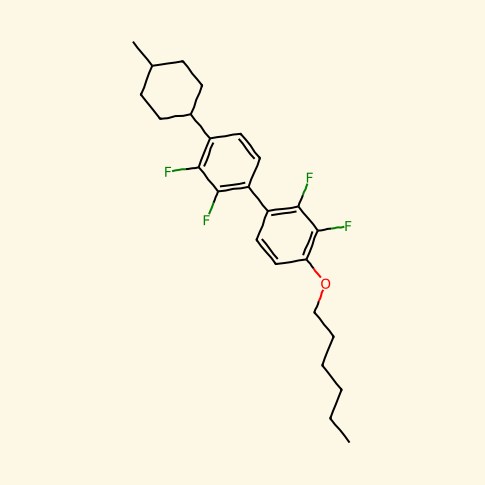 CCCCCCOc1ccc(-c2ccc(C3CCC(C)CC3)c(F)c2F)c(F)c1F